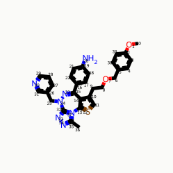 COc1ccc(COCCc2csc3c2C(c2ccc(N)cc2)=NN(Cc2cccnc2)c2nnc(C)n2-3)cc1